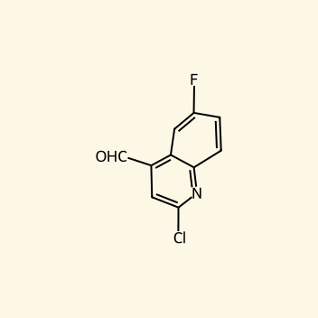 O=Cc1cc(Cl)nc2ccc(F)cc12